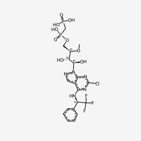 CO[C@H](COP(=O)(O)CP(=O)(O)O)[C@@H](O)[C@@H](O)n1ncc2c(N[C@H](c3ccccc3)C(F)(F)F)nc(Cl)nc21